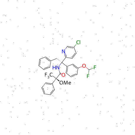 CO[C@@](C(=O)N[C@](Cc1ccccc1)(c1cccc(OC(F)F)c1)c1ccc(Cl)cn1)(c1ccccc1)C(F)(F)F